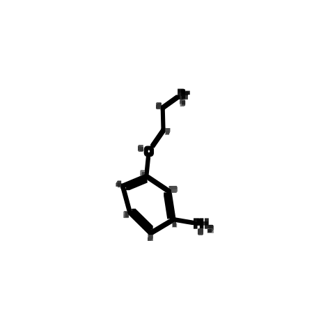 Pc1cccc(OCCBr)c1